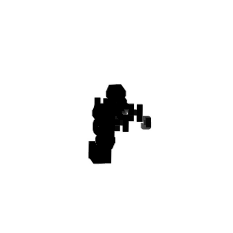 C[C@@H](CC1CCCCC1)NCc1ccccc1NC(=O)CN1CCN(c2ncccn2)CC1